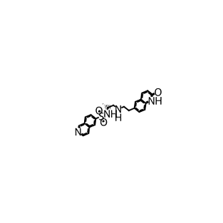 C[C@H](CNCCc1ccc2[nH]c(=O)ccc2c1)NS(=O)(=O)c1ccc2cnccc2c1